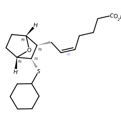 O=C(O)CCC/C=C\C[C@@H]1[C@H](SC2CCCCC2)[C@@H]2CC[C@H]1O2